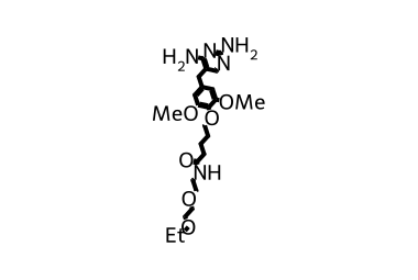 CCOCCOCCNC(=O)CCCCOc1c(OC)cc(Cc2cnc(N)nc2N)cc1OC